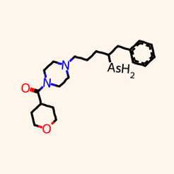 O=C(C1CCOCC1)N1CCN(CCCC([AsH2])Cc2ccccc2)CC1